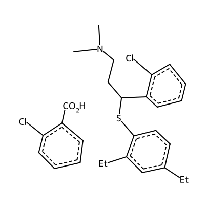 CCc1ccc(SC(CCN(C)C)c2ccccc2Cl)c(CC)c1.O=C(O)c1ccccc1Cl